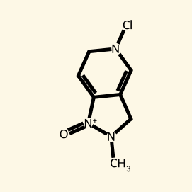 CN1CC2=CN(Cl)CC=C2[N+]1=O